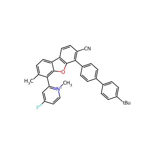 Cc1ccc2c(oc3c(-c4ccc(-c5ccc(C(C)(C)C)cc5)cc4)c(C#N)ccc32)c1-c1cc(F)cc[n+]1C